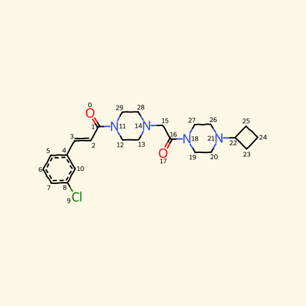 O=C(C=Cc1cccc(Cl)c1)N1CCN(CC(=O)N2CCN(C3CCC3)CC2)CC1